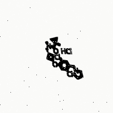 CN(C[C@H]1C[C@H](Oc2cc(Cl)c(CN3CCCC3)cc2Cl)C1)C(=O)C1(C)CC1.Cl